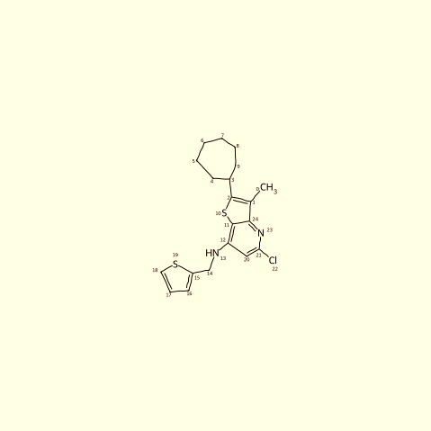 Cc1c(C2CCCCCC2)sc2c(NCc3cccs3)cc(Cl)nc12